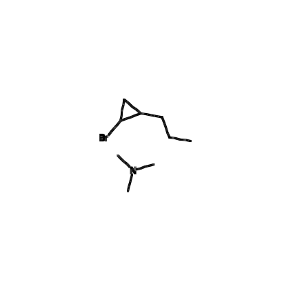 CCCC1CC1Br.CN(C)C